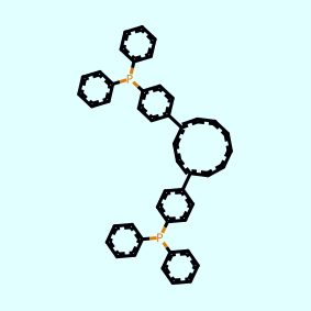 c1cccc(-c2ccc(P(c3ccccc3)c3ccccc3)cc2)ccc(-c2ccc(P(c3ccccc3)c3ccccc3)cc2)cc1